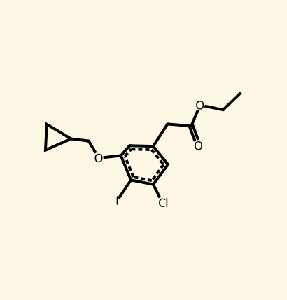 CCOC(=O)Cc1cc(Cl)c(I)c(OCC2CC2)c1